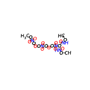 C#Cc1cccc(NC(=O)c2cc(C(=O)Nc3cccc(C#C)c3)cc(N3C(=O)c4ccc(Oc5ccc6c(c5)C(=O)N(c5ccc(Oc7ccc(N8C(=O)c9ccc(C)cc9C8=O)cc7)cc5)C6=O)cc4C3=O)c2)c1